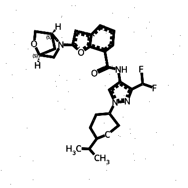 CC(C)C1CCC(n2cc(NC(=O)c3cccc4cc(N5C[C@@H]6C[C@H]5CO6)oc34)c(C(F)F)n2)CC1